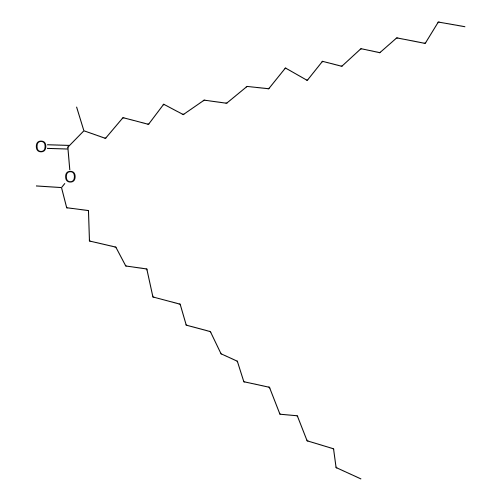 CCCCCCCCCCCCCCCCCCCCC(C)OC(=O)C(C)CCCCCCCCCCCCCCCCCCC